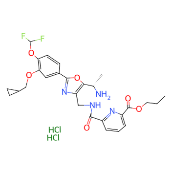 CCCOC(=O)c1cccc(C(=O)NCc2nc(-c3ccc(OC(F)F)c(OCC4CC4)c3)oc2[C@H](C)N)n1.Cl.Cl